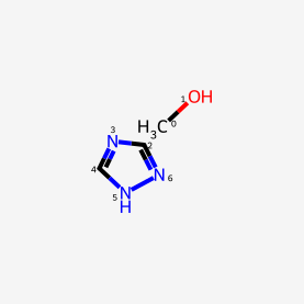 CO.c1nc[nH]n1